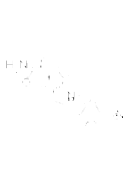 C=C(C(N)=O)c1ccc2c(ccn2Cc2cccc(C#N)c2)c1